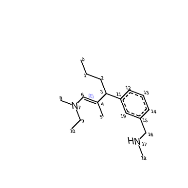 CCCC(/C(C)=C/N(C)CC)c1cccc(CNC)c1